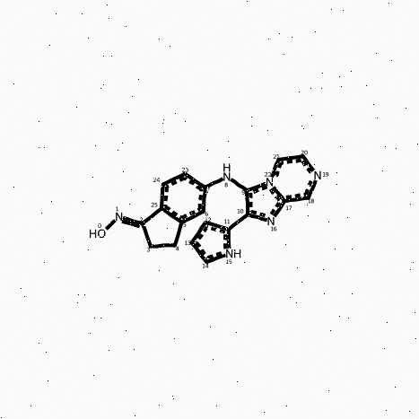 O/N=C1\CCc2cc(Nc3c(-c4ccc[nH]4)nc4cnccn34)ccc21